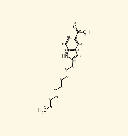 CCCCCCCCCCc1cc2cc(C(=O)O)ccc2[nH]1